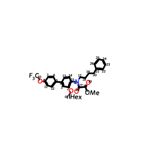 CCCCCCOc1cc(-c2ccc(OC(F)(F)F)cc2)ccc1N(CCCCc1ccccc1)C(=O)C(=O)OC